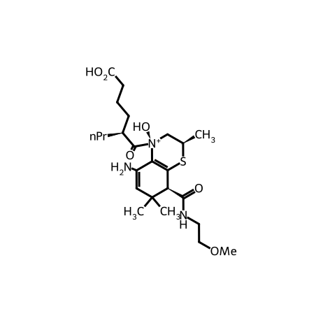 CCC[C@@H](CCCC(=O)O)C(=O)[N@+]1(O)C[C@@H](C)SC2=C1C(N)=CC(C)(C)[C@@H]2C(=O)NCCOC